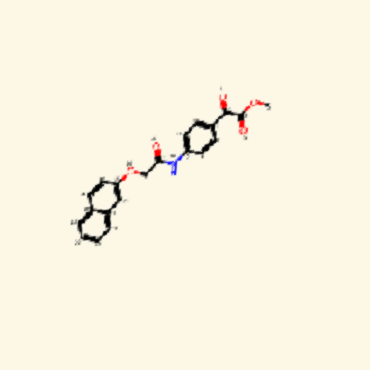 COC(=O)C(=O)c1ccc(NC(=O)COc2ccc3ccccc3c2)cc1